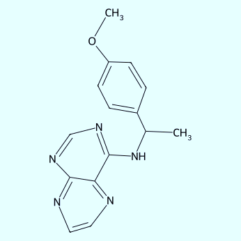 COc1ccc(C(C)Nc2ncnc3nccnc23)cc1